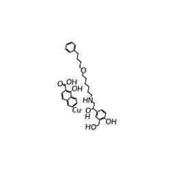 O=C(O)c1ccc2ccccc2c1O.OCc1cc(C(O)CNCCCCCCOCCCCc2ccccc2)ccc1O.[Cu]